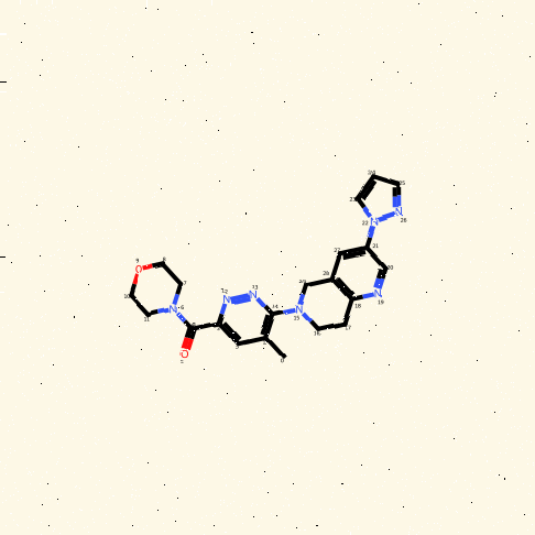 Cc1cc(C(=O)N2CCOCC2)nnc1N1CCc2ncc(-n3cccn3)cc2C1